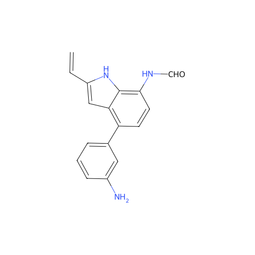 C=Cc1cc2c(-c3cccc(N)c3)ccc(NC=O)c2[nH]1